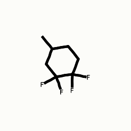 CC1CCC(F)(F)C(F)(F)C1